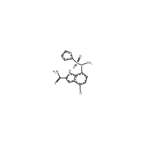 CN(c1ccc(Cl)c2cc(C(N)=S)[nH]c12)S(=O)(=O)c1cccs1